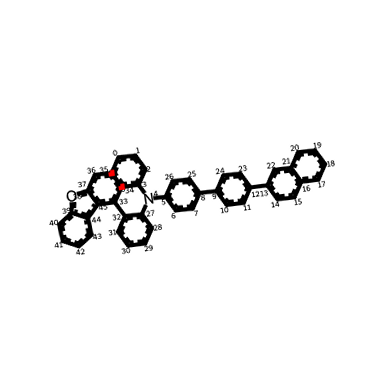 c1ccc(N(c2ccc(-c3ccc(-c4ccc5ccccc5c4)cc3)cc2)c2ccccc2-c2cccc3oc4ccccc4c23)cc1